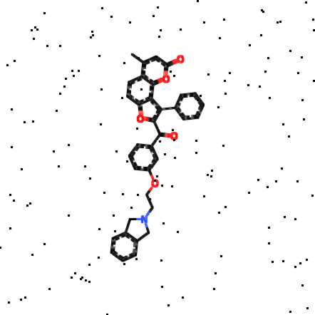 Cc1cc(=O)oc2c1ccc1oc(C(=O)c3cccc(OCCN4Cc5ccccc5C4)c3)c(-c3ccccc3)c12